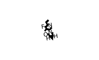 C=Cc1ncc(N2C[C@H]3C[C@H]3C2=O)c(C)c1F